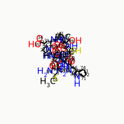 CSCC[C@H](NC(=O)[C@@H]1CCCN1C(=O)[C@H](CCSC)NC(=O)[C@@H]1CCCN1C(=O)[C@H](CCC(=O)O)NC(=O)[C@@H]1CCCN1C(=O)[C@@H](NC(=O)[C@H](CS)NC(=O)[C@H](CC(C)C)NC(=O)[C@@H](N)Cc1c[nH]c2ccccc12)[C@@H](C)O)C(N)=O